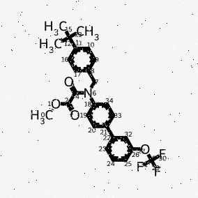 COC(=O)C(=O)N(Cc1ccc(C(C)(C)C)cc1)c1ccc(-c2cccc(OC(F)(F)F)c2)cc1